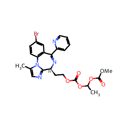 COC(=O)OC(C)OC(=O)OCC[C@@H]1N=C(c2ccccn2)c2cc(Br)ccc2-n2c(C)cnc21